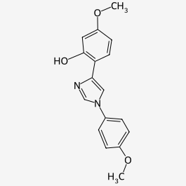 COc1ccc(-n2cnc(-c3ccc(OC)cc3O)c2)cc1